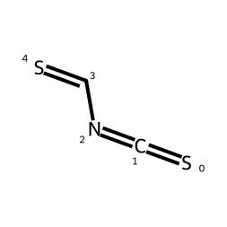 S=C=NC=S